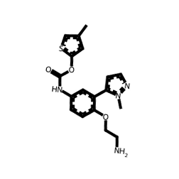 Cc1csc(OC(=O)Nc2ccc(OCCN)c(-c3ccnn3C)c2)c1